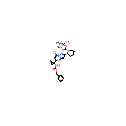 CC(C)(C)OC(=O)N1CCCC[C@H]1c1cc2nc(C3(NC(=O)OCc4ccccc4)CC3)cc(Cl)n2n1